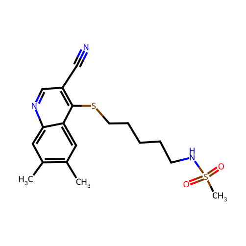 Cc1cc2ncc(C#N)c(SCCCCCNS(C)(=O)=O)c2cc1C